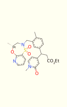 CCOC(=O)CC(c1ccc(C)c(CN2C[C@@H](C)Oc3ncccc3S2(=O)=O)c1)c1ccn(C)c(=O)c1